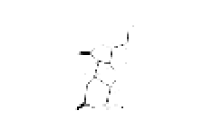 C[C@@H](O)[C@@H]1OC(=O)[C@@H]2[C@@H]3CC(=O)O[C@H](C)[C@@H]3O[C@H]12